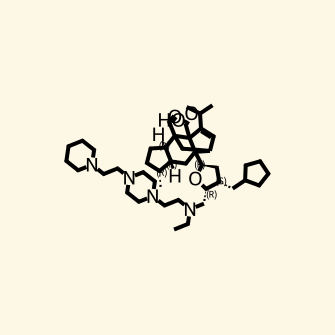 CCN(CCN1CCN(CCN2CCCCC2)CC1)C[C@@H]1O[C@@H](C23C[C@@H]4[C@H](C)CC[C@H]4C4(C=O)CC2C=C(C(C)C)C43C(=O)O)C[C@@H]1CC1CCCC1